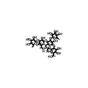 CC1O[C@@H](O[C@@H]2C(O)[C@H](O[C@@H]3C(CO)O[C@H](OC4[C@@H](OCN)OC(CO)[C@@H](O)[C@@H]4O)C(O)[C@H]3O[C@@H]3OC(C)[C@H](O)C(O)[C@@H]3O)OC(CO)[C@H]2O)[C@@H](O)C(O)[C@H]1O